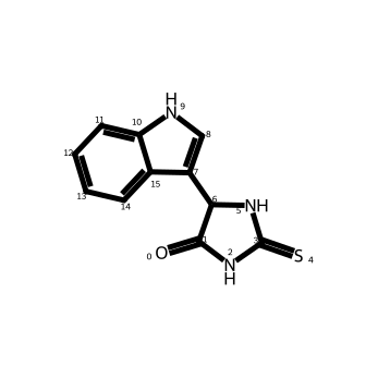 O=C1NC(=S)NC1c1c[nH]c2ccccc12